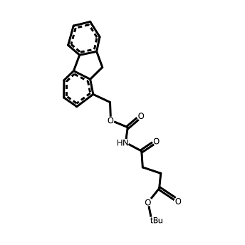 CC(C)(C)OC(=O)CCC(=O)NC(=O)OCc1cccc2c1Cc1ccccc1-2